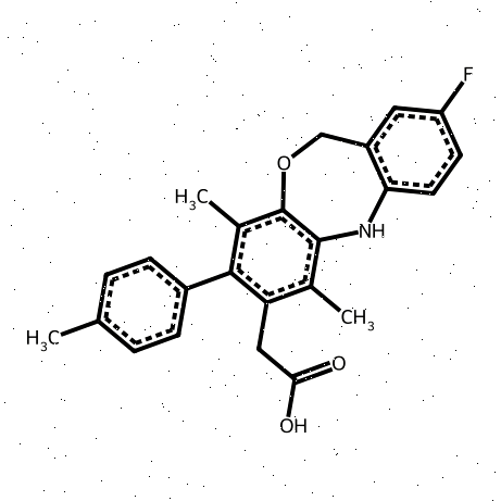 Cc1ccc(-c2c(C)c3c(c(C)c2CC(=O)O)Nc2ccc(F)cc2CO3)cc1